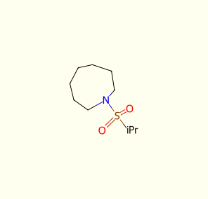 CC(C)S(=O)(=O)N1CCCCCCC1